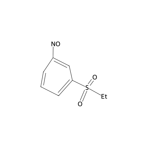 CCS(=O)(=O)c1cccc(N=O)c1